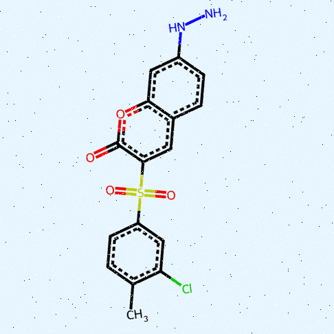 Cc1ccc(S(=O)(=O)c2cc3ccc(NN)cc3oc2=O)cc1Cl